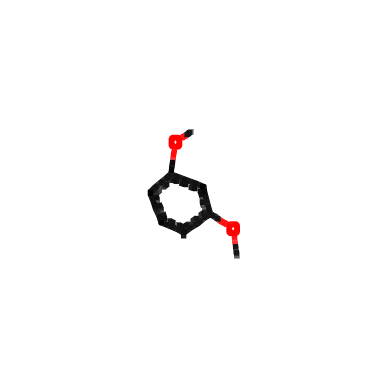 COc1[c]ccc(OC)c1